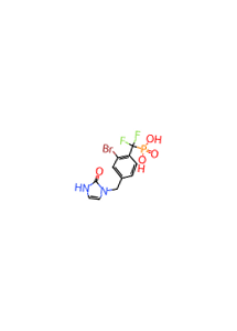 O=c1[nH]ccn1Cc1ccc(C(F)(F)P(=O)(O)O)c(Br)c1